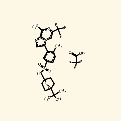 Cc1ccc(S(=O)(=O)NC23CCC(C(C)(C)O)(CC2)OC3)cc1-c1cnc2c(N)nc(C(F)(F)F)cn12.O=C(O)C(F)(F)F